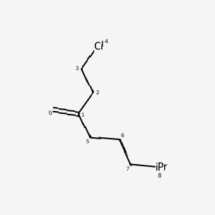 C=C(CCCl)CCCC(C)C